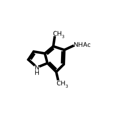 CC(=O)Nc1cc(C)c2[nH]ccc2c1C